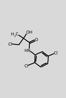 CC(O)(CCl)C(=O)Nc1cc(Cl)ccc1Cl